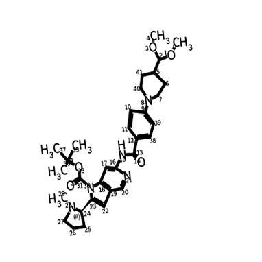 COC(OC)C1CCN(c2ccc(C(=O)Nc3cc4c(cn3)cc([C@H]3CCCN3C)n4C(=O)OC(C)(C)C)cc2)CC1